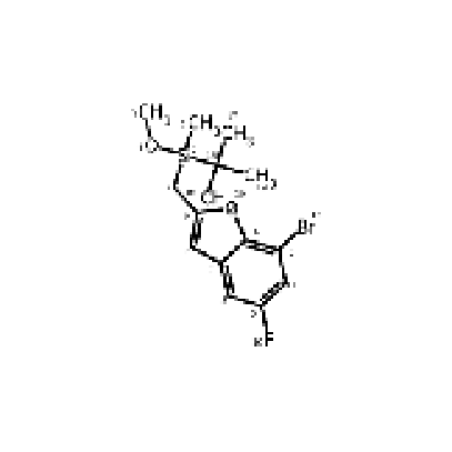 CO[Si](C)(Cc1cc2cc(F)cc(Br)c2o1)C(C)(C)C